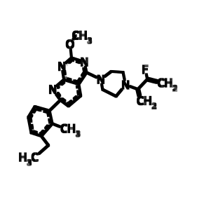 C=C(F)C(=C)N1CCN(c2nc(OC)nc3nc(-c4cccc(CC)c4C)ccc23)CC1